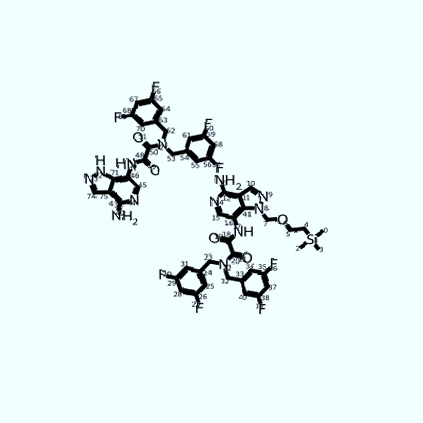 C[Si](C)(C)CCOCn1ncc2c(N)ncc(NC(=O)C(=O)N(Cc3cc(F)cc(F)c3)Cc3cc(F)cc(F)c3)c21.Nc1ncc(NC(=O)C(=O)N(Cc2cc(F)cc(F)c2)Cc2cc(F)cc(F)c2)c2[nH]ncc12